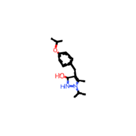 CC1=C(Cc2ccc(OC(C)C)cc2)C(O)NN1C(C)C